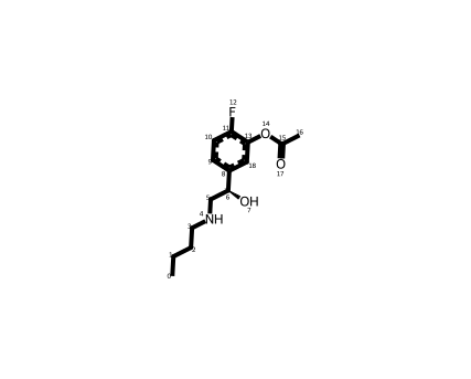 CCCCNC[C@H](O)c1ccc(F)c(OC(C)=O)c1